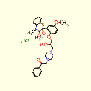 COc1ccc(OCC(O)CN2CCN(CC(=O)c3ccccc3)CC2)c(C2(OC)Sc3ccccc3N(C)C2=O)c1.Cl